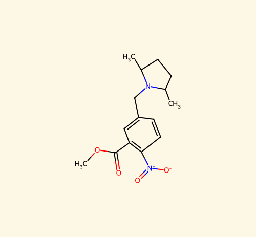 COC(=O)c1cc(CN2C(C)CCC2C)ccc1[N+](=O)[O-]